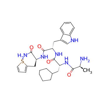 C[C@H](N)C(=O)N[C@H](CC1CCCCC1)C(=O)N[C@@H](Cc1c[nH]c2ccccc12)C(=O)N[C@@H](Cc1cccs1)C(N)=O